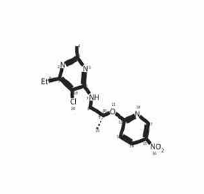 CCc1nc(C)nc(NC[C@@H](C)Oc2ccc([N+](=O)[O-])cn2)c1Cl